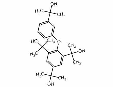 CC(C)(O)c1cccc(Oc2c(C(C)(C)O)cc(C(C)(C)O)cc2C(C)(C)O)c1